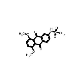 COc1ccc(OC)c2c1C(=O)c1ccc(NS(C)(=O)=O)cc1C2=O